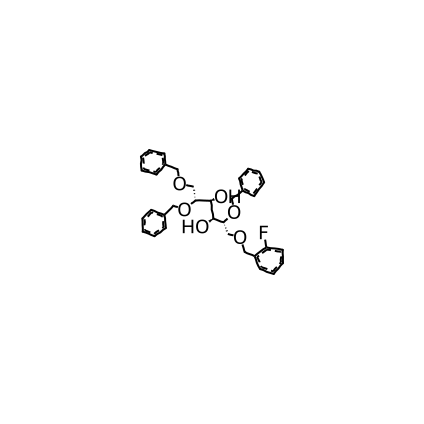 O[C@@H]([C@H](O)[C@@H](COCc1ccccc1F)OCc1ccccc1)[C@@H](COCc1ccccc1)OCc1ccccc1